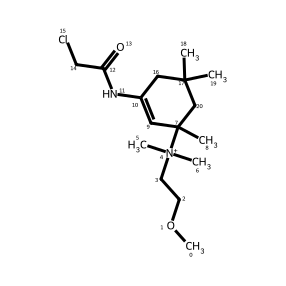 COCC[N+](C)(C)C1(C)C=C(NC(=O)CCl)CC(C)(C)C1